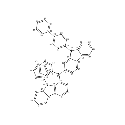 C1=CC2c3cccc(N(c4ccccc4)c4ccc5c6ccccc6n(-c6ccc(-c7ccccc7)cc6)c5c4)c3N(c3ccccc3)C2C=C1